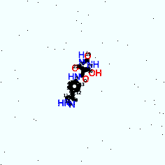 O=C(Nc1ccc(-c2cn[nH]c2)cc1)c1c(O)[nH]c(=O)[nH]c1=O